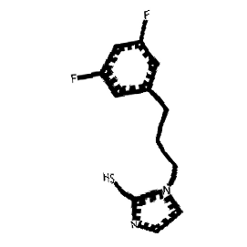 Fc1cc(F)cc(CCCn2ccnc2S)c1